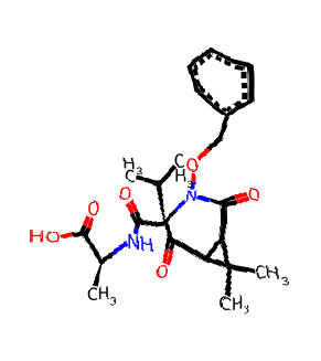 CC(C)[C@]1(C(=O)N[C@@H](C)C(=O)O)C(=O)C2C(C(=O)N1OCc1ccccc1)C2(C)C